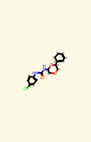 O=C(Nc1ccc(Cl)cc1)NC1COCC(C2=CC=CCC2)O1